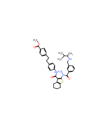 COC(=O)c1ccc(CCc2ccc(NC(=O)c3c(N(N)C(=O)c4cccc(CNC(C)C(C)C)c4)sc4c3CCCC4)cc2)cc1